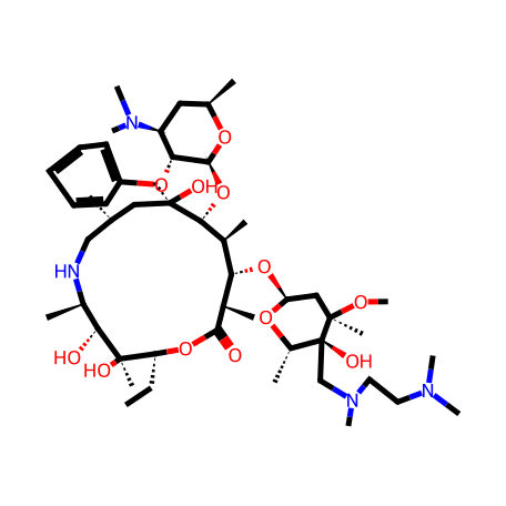 CC[C@H]1OC(=O)[C@H](C)[C@@H](O[C@H]2C[C@@](C)(OC)[C@](O)(CN(C)CCN(C)C)[C@H](C)O2)[C@H](C)[C@@H](O[C@@H]2O[C@H](C)C[C@H](N(C)C)[C@H]2Oc2ccccc2)[C@](C)(O)C[C@@H](C)CN[C@H](C)[C@@H](O)[C@]1(C)O